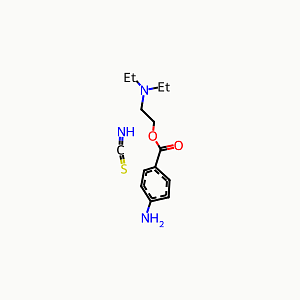 CCN(CC)CCOC(=O)c1ccc(N)cc1.N=C=S